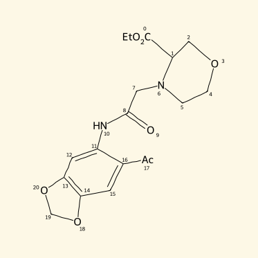 CCOC(=O)C1COCCN1CC(=O)Nc1cc2c(cc1C(C)=O)OCO2